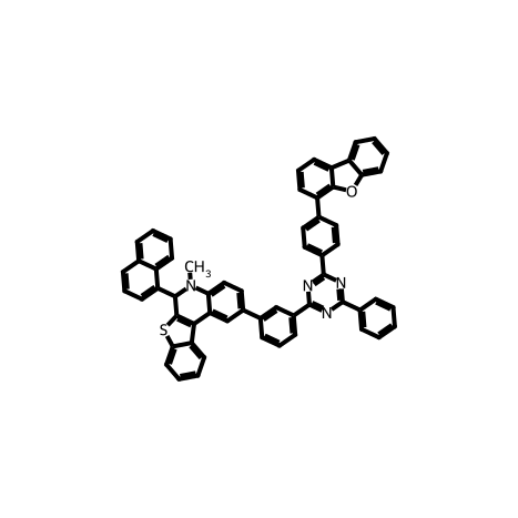 CN1c2ccc(-c3cccc(-c4nc(-c5ccccc5)nc(-c5ccc(-c6cccc7c6oc6ccccc67)cc5)n4)c3)cc2-c2c(sc3ccccc23)C1c1cccc2ccccc12